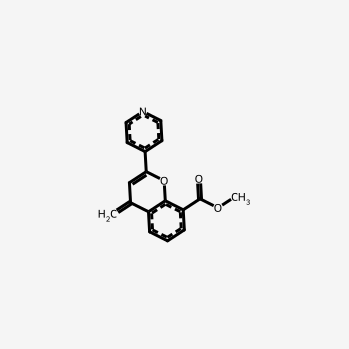 C=C1C=C(c2ccncc2)Oc2c1cccc2C(=O)OC